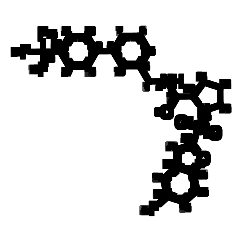 O=C(NCc1cccc(-c2ccc(C(F)(F)F)cc2)c1)C1CCCN1S(=O)(=O)c1cc2cc(F)ccc2o1